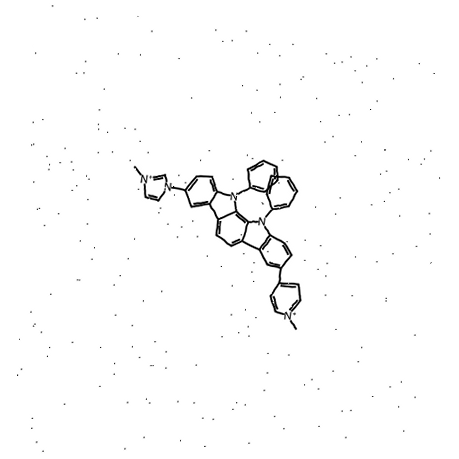 C[n+]1ccc(-c2ccc3c(c2)c2ccc4c5cc(-n6cc[n+](C)c6)ccc5n(-c5ccccc5)c4c2n3-c2ccccc2)cc1